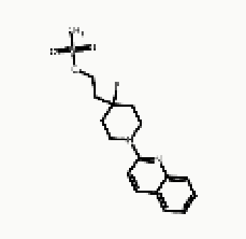 CS(=O)(=O)OCCC1(F)CCN(c2ccc3ccccc3n2)CC1